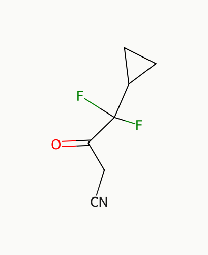 N#CCC(=O)C(F)(F)C1CC1